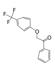 O=C(COc1ccc(C(F)(F)F)cc1)c1ccccc1